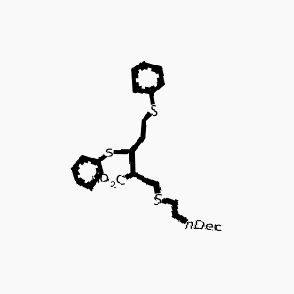 CCCCCCCCCCCCSCC(C(=O)O)C(CCSc1ccccc1)Sc1ccccc1